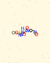 O=C(Nc1nnc(COC2CCCCC2)s1)C1CC(=O)N(c2ccc(CN3CCOCC3)cc2)C1